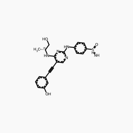 C[C@H](CO)Nc1nc(Nc2ccc([SH](=N)=O)cc2)ncc1C#Cc1cccc(O)c1